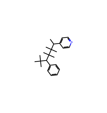 CC(c1ccncc1)C(C)(C)C(C)(C)C(c1ccccc1)C(C)(C)C